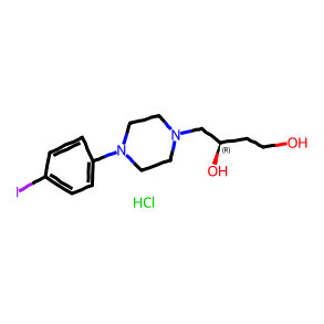 Cl.OCC[C@@H](O)CN1CCN(c2ccc(I)cc2)CC1